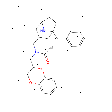 CCC(=O)N(CC1CC2CCC(Cc3ccccc3)(C1)N2)CC1COc2ccccc2O1